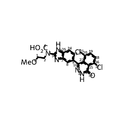 COCCN(C(=O)O)c1nc2cc(-c3n[nH]c(=O)c4c(Cl)ccc(Cl)c34)ccc2[nH]1